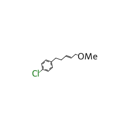 [CH2]OCC=CCCc1ccc(Cl)cc1